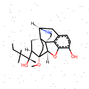 CCC(C)(C)[C@@](C)(O)[C@H]1C[C@@]23CC[C@@]1(OC)[C@@H]1Oc4c(O)ccc5c4[C@@]12CCN[C@@H]3C5